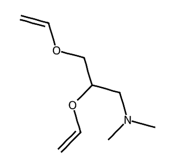 C=COCC(CN(C)C)OC=C